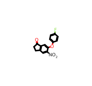 O=C1CCc2cc([N+](=O)[O-])c(Oc3ccc(F)cc3)cc21